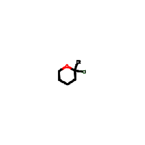 [CH2]CC1(Cl)CCCCO1